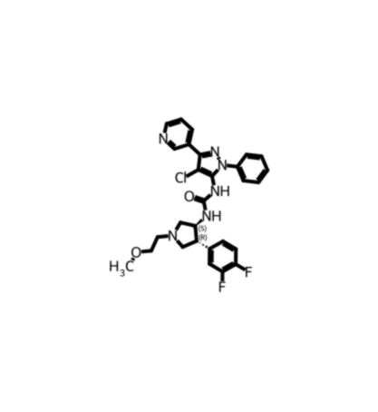 COCCN1C[C@@H](NC(=O)Nc2c(Cl)c(-c3cccnc3)nn2-c2ccccc2)[C@H](c2ccc(F)c(F)c2)C1